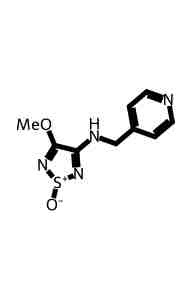 COc1n[s+]([O-])nc1NCc1ccncc1